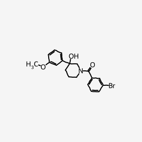 COc1cccc(C2(O)CCCN(C(=O)c3cccc(Br)c3)C2)c1